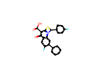 O=C(O)c1c2n(c3cc(-c4ccccc4)c(F)cc3c1=O)C(c1ccc(F)cc1)S2